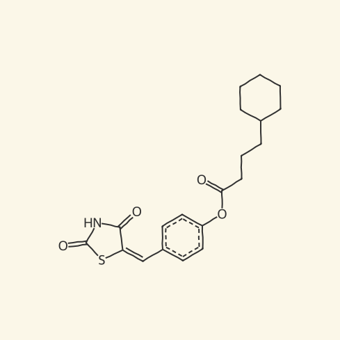 O=C(CCCC1CCCCC1)Oc1ccc(C=C2SC(=O)NC2=O)cc1